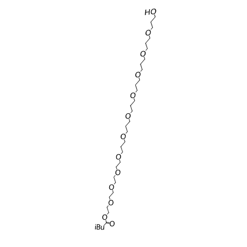 CCC(C)C(=O)OCCOCCOCCOCCOCCCOCCCOCCCOCCCOCCCOCCCOCCCO